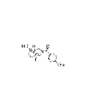 CN1CC[C@H]2CN(C(=O)c3ccc(C(C)(C)C)cc3)C[C@H]21